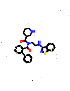 O=C(c1ccccc1-c1ccccc1)N(CCNc1nsc2ccccc12)C(=O)C1CCCNC1